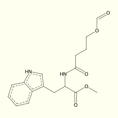 COC(=O)C(Cc1c[nH]c2ccccc12)NC(=O)CCCOC=O